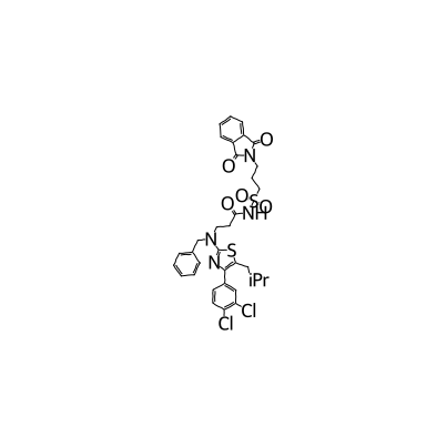 CC(C)Cc1sc(N(CCC(=O)NS(=O)(=O)CCCN2C(=O)c3ccccc3C2=O)Cc2ccccc2)nc1-c1ccc(Cl)c(Cl)c1